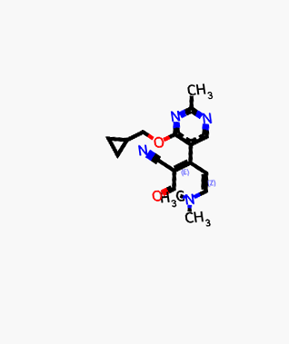 Cc1ncc(C(/C=C\N(C)C)=C(\C#N)C=O)c(OCC2CC2)n1